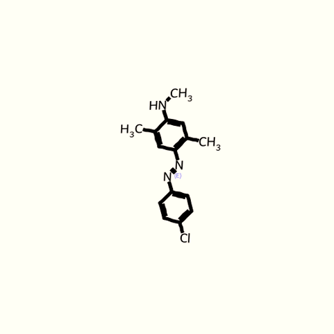 CNc1cc(C)c(/N=N/c2ccc(Cl)cc2)cc1C